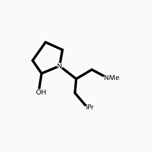 CNCC(CC(C)C)N1CCCC1O